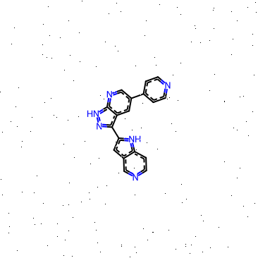 c1cc(-c2cnc3[nH]nc(-c4cc5cnccc5[nH]4)c3c2)ccn1